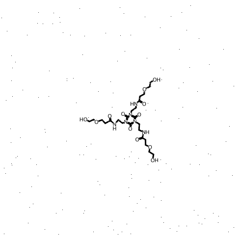 O=C(CCOCCO)NCCn1c(=O)n(CCNC(=O)CCOCCO)c(=O)n(CCNC(=O)CCOCCO)c1=O